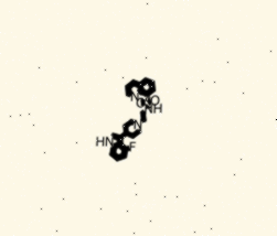 O=S(=O)(NCCN1CCC(c2c[nH]c3cccc(F)c23)CC1)c1cccc2cccnc12